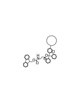 O=C(CCNC(=O)OCC1c2ccccc2-c2ccccc21)OC(c1ccccc1)(c1ccc(C2CCCCCCCCCCC2)cc1)c1ccccc1Cl